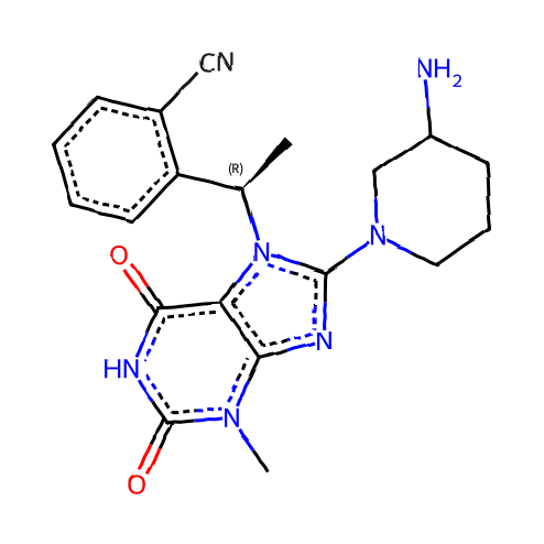 C[C@H](c1ccccc1C#N)n1c(N2CCCC(N)C2)nc2c1c(=O)[nH]c(=O)n2C